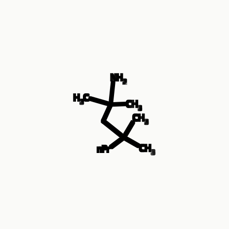 CCCC(C)(C)CC(C)(C)N